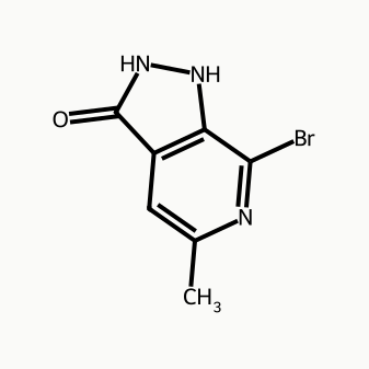 Cc1cc2c(=O)[nH][nH]c2c(Br)n1